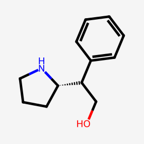 OCC(c1ccccc1)[C@@H]1CCCN1